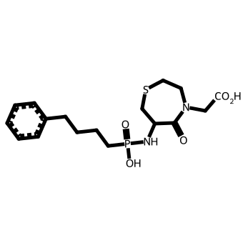 O=C(O)CN1CCSCC(NP(=O)(O)CCCCc2ccccc2)C1=O